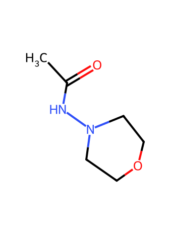 CC(=O)NN1CCOCC1